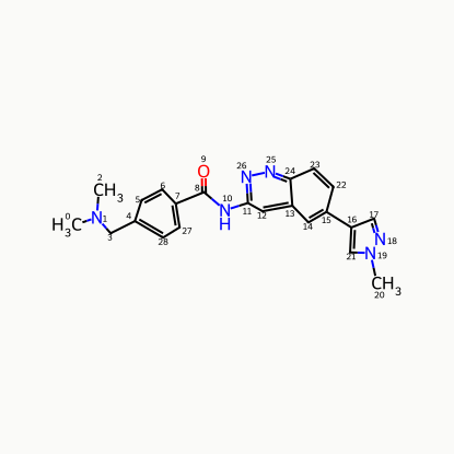 CN(C)Cc1ccc(C(=O)Nc2cc3cc(-c4cnn(C)c4)ccc3nn2)cc1